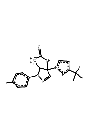 CC(=O)NC1(n2ccc(C(F)(F)F)n2)C=NN(c2ccc(F)cc2)C1C